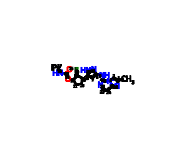 Cc1cn2c(Nc3cc([C@@H]4CC[C@H](OC(=O)NC(C)C)[C@H]4F)[nH]n3)nccc2n1